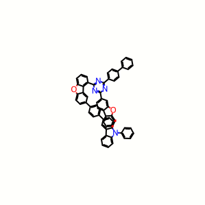 c1ccc(-c2ccc(-c3nc(-c4ccc5c(c4)oc4ccccc45)nc(-c4cccc5oc6ccc(-c7ccc(-c8ccc9c(c8)c8ccccc8n9-c8ccccc8)cc7)cc6c45)n3)cc2)cc1